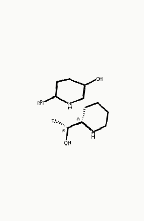 CCCC1CCC(O)CN1.CC[C@@H](O)[C@@H]1CCCCN1